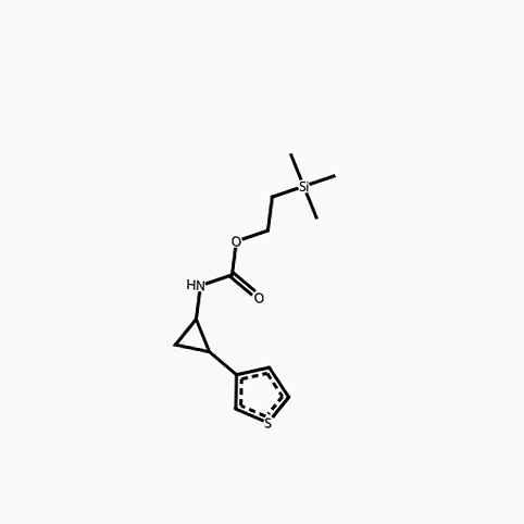 C[Si](C)(C)CCOC(=O)NC1CC1c1ccsc1